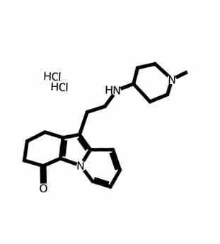 CN1CCC(NCCc2c3c(n4ccccc24)C(=O)CCC3)CC1.Cl.Cl